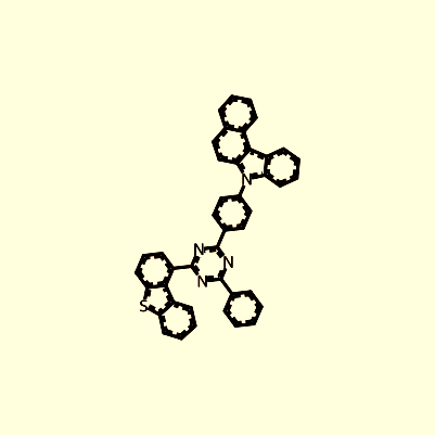 c1ccc(-c2nc(-c3ccc(-n4c5ccccc5c5c6ccccc6ccc54)cc3)nc(-c3cccc4sc5ccccc5c34)n2)cc1